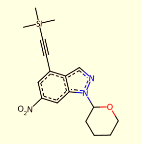 C[Si](C)(C)C#Cc1cc([N+](=O)[O-])cc2c1cnn2C1CCCCO1